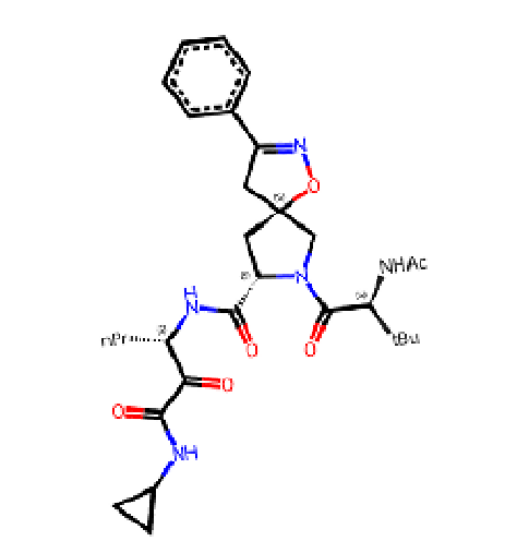 CCC[C@H](NC(=O)[C@@H]1C[C@]2(CC(c3ccccc3)=NO2)CN1C(=O)[C@@H](NC(C)=O)C(C)(C)C)C(=O)C(=O)NC1CC1